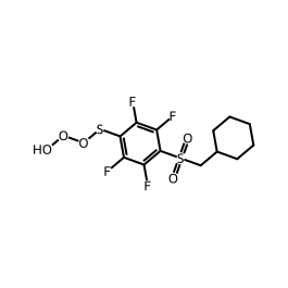 O=S(=O)(CC1CCCCC1)c1c(F)c(F)c(SOOO)c(F)c1F